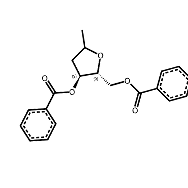 CC1C[C@H](OC(=O)c2ccccc2)[C@@H](COC(=O)c2ccccc2)O1